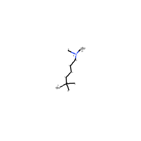 CN(CCCCC(C)(C)C(C)(C)C)C(C)(C)C